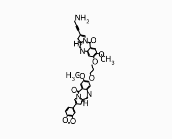 COc1cc2c(cc1OCCCOc1cc3c(cc1OC)C(=O)N1C=C(c4ccc5c(c4)OCO5)C[C@H]1C=N3)N=C[C@@H]1CC(C#CCN)=CN1C2=O